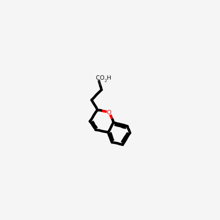 O=C(O)CCC1C=Cc2ccccc2O1